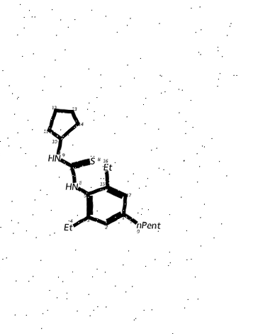 CCCCCc1cc(CC)c(NC(=S)NC2CCCC2)c(CC)c1